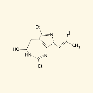 CCC1=Nc2c(c(CC)nn2/C=C(/C)Cl)CC(O)N1